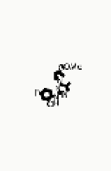 COOc1ccn(-c2nc(Nc3ccc(F)cc3Cl)ncc2C)c1